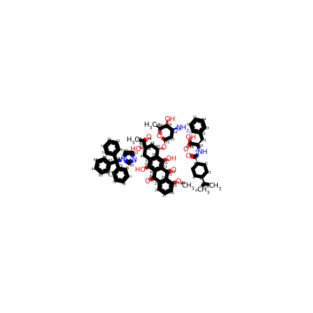 CC(C)[C@H]1CC[C@H](C(=O)N[C@H](Cc2ccccc2)C(=O)O)CC1.COc1cccc2c1C(=O)c1c(O)c3c(c(O)c1C2=O)C[C@@](O)(C(C)=O)C[C@@H]3O[C@H]1C[C@H](N)[C@H](O)[C@H](C)O1.Clc1ccccc1C(c1ccccc1)(c1ccccc1)n1ccnc1